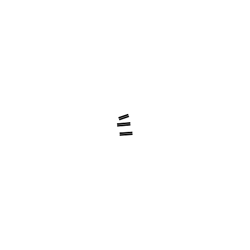 C=C.C=C.C=C